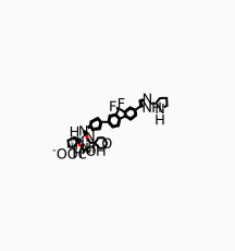 CC(C1CCOCC1)[N+](O)(C(=O)[O-])N1[C@@H]2CC[C@H](C2)[C@H]1c1nc2ccc(-c3ccc4c(c3)C(F)(F)c3cc(-c5cnc(C6CCCN6)[nH]5)ccc3-4)cc2[nH]1